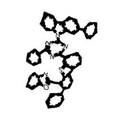 c1ccc(-c2ccc3c4ccccc4n(-c4nc(-c5ccccc5)nc(-c5cccc6c5sc5c(-c7nc8ccccc8o7)c(-c7ccccc7)ccc56)n4)c3c2)cc1